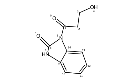 O=C(CCO)n1c(=O)[nH]c2ccccc21